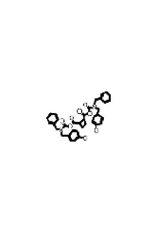 O=C(OC(=O)N(Cc1ccccc1)Cc1ccc(Cl)cc1)C1CCC1C(=O)OC(=O)N(Cc1ccccc1)Cc1ccc(Cl)cc1